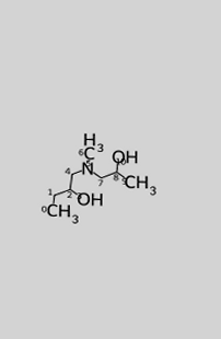 CCC(O)CN(C)CC(C)O